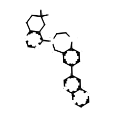 CC1(C)CCc2ncnc(N3CCOc4ccc(-c5cnc6nccnc6c5)cc4C3)c2C1